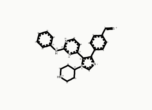 S=Cc1ccc(-c2ncn(C3CCNCC3)c2-c2ccnc(Nc3ccccc3)n2)cc1